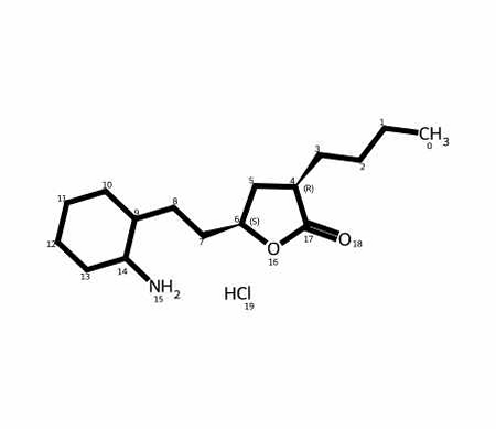 CCCC[C@@H]1C[C@H](CCC2CCCCC2N)OC1=O.Cl